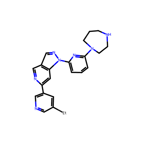 CCc1cncc(-c2cc3c(cn2)cnn3-c2cccc(N3CCCNCC3)n2)c1